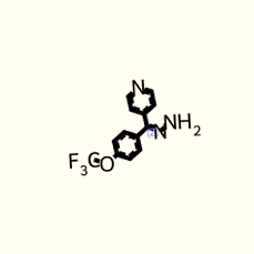 N/N=C(\c1ccncc1)c1ccc(OC(F)(F)F)cc1